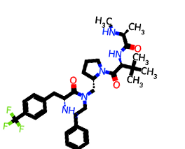 CN[C@@H](C)C(=O)N[C@H](C(=O)N1CCC[C@H]1CN(CCc1ccccc1)C(=O)[C@H](N)Cc1ccc(C(F)(F)F)cc1)C(C)(C)C